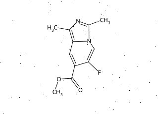 COC(=O)c1cc2c(C)nc(C)n2cc1F